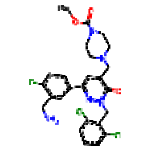 CC(C)(C)OC(=O)N1CCN(Cc2cc(-c3ccc(F)c(CN)c3)nn(Cc3c(Cl)cccc3Cl)c2=O)CC1